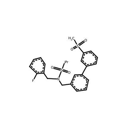 CC(C)S(=O)(=O)N(Cc1cccc(-c2cccc(S(C)(=O)=O)c2)c1)Cc1ccccc1F